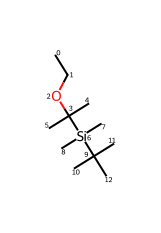 CCOC(C)(C)[Si](C)(C)C(C)(C)C